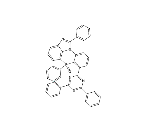 O=P1(c2ccccc2)c2c(-c3nc(-c4ccccc4)nc(-c4ccccc4)n3)cccc2-n2c(-c3ccccc3)nc3cccc1c32